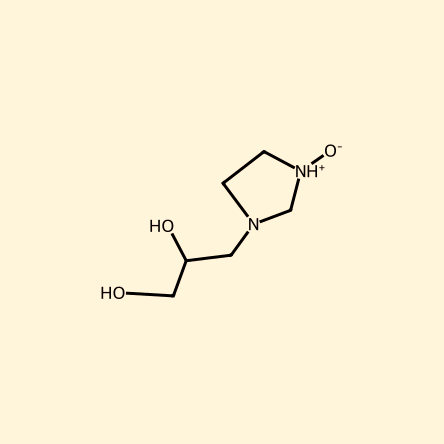 [O-][NH+]1CCN(CC(O)CO)C1